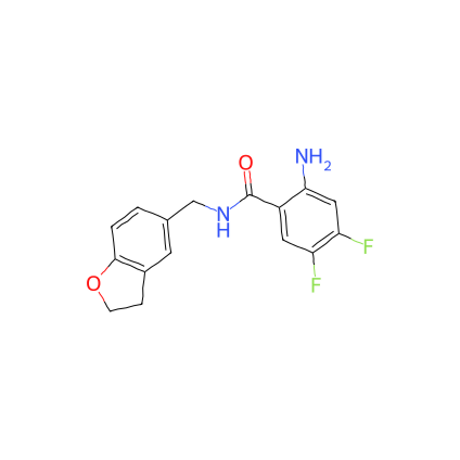 Nc1cc(F)c(F)cc1C(=O)NCc1ccc2c(c1)CCO2